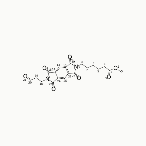 COC(=O)CCCCCn1c(=O)c2cc3c(=O)n(CCC=O)c(=O)c3cc2c1=O